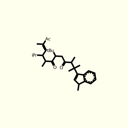 CC(=O)/C(C)=C/C(C(C)C)C(C)C(=O)C(CC(=O)C(C)C(C)(C)C1=CC(C)c2ccccc21)C(C)(C)C